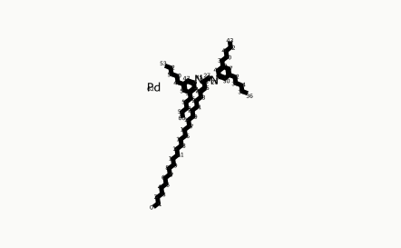 CCCCCCCCCCCCCCCCCCCCCCCC/C=C/C(/C=N/c1cc(CCCCC)cc(CCCCC)c1)=N\c1cc(CCCCC)cc(CCCCC)c1.[Pd]